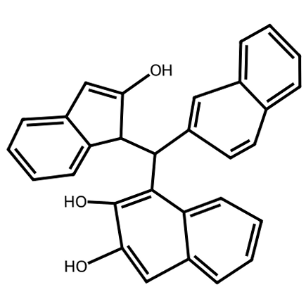 OC1=Cc2ccccc2C1C(c1ccc2ccccc2c1)c1c(O)c(O)cc2ccccc12